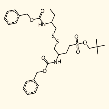 CCC(CSSCC(CCS(=O)(=O)OCC(C)(C)C)NC(=O)OCc1ccccc1)NC(=O)OCc1ccccc1